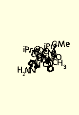 COCCCOC(=O)C(C)NP(=O)(OC[C@@]1(C#N)O[C@@H](c2ccc3c(N)ncnn23)[C@H](OC(=O)C(C)C)[C@@H]1OC(=O)C(C)C)Oc1ccccc1